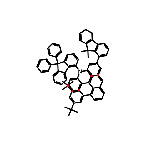 CC(C)(C)c1cc(-c2cccc3cccc(-c4ccccc4N(c4cccc(-c5cccc6c5C(C)(C)C5=C6CCC=C5)c4)c4cccc5c4-c4ccccc4C5(c4ccccc4)c4ccccc4)c23)cc(C(C)(C)C)c1